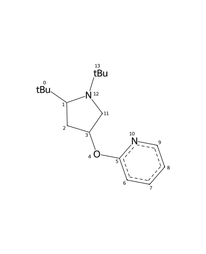 CC(C)(C)C1CC(Oc2ccccn2)CN1C(C)(C)C